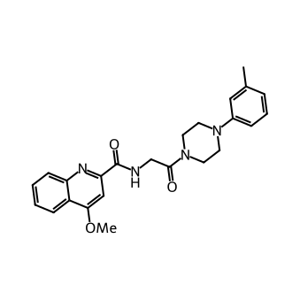 COc1cc(C(=O)NCC(=O)N2CCN(c3cccc(C)c3)CC2)nc2ccccc12